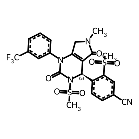 CN1CC2=C(C1=O)[C@@H](c1ccc(C#N)cc1S(C)(=O)=O)N(S(C)(=O)=O)C(=O)N2c1cccc(C(F)(F)F)c1